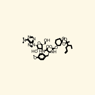 C=CCC(CC)C1(C)OOC2(CCCC(OC(=O)N[C@@H](Cc3ccc(OC)cc3)C(=O)N[C@H]3[C@@H](O)[C@H](n4cnc5c(N(C)C)ncnc54)O[C@@H]3CO)C2)O1